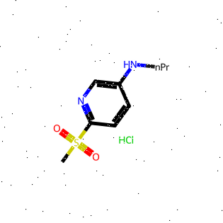 CCCNc1ccc(S(C)(=O)=O)nc1.Cl